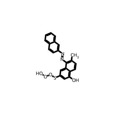 Cc1ccc2c(O)cc(SOOO)cc2c1N=Nc1ccc2ccccc2c1